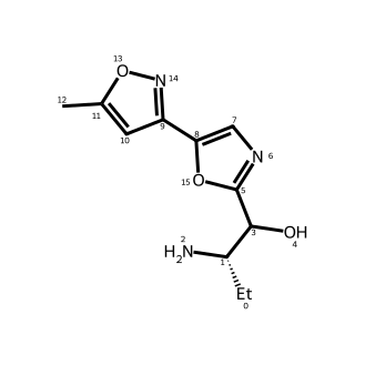 CC[C@H](N)C(O)c1ncc(-c2cc(C)on2)o1